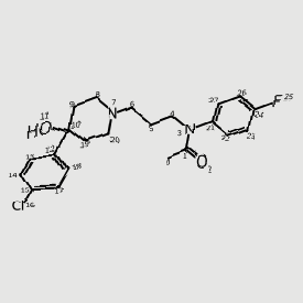 CC(=O)N(CCCN1CCC(O)(c2ccc(Cl)cc2)CC1)c1ccc(F)cc1